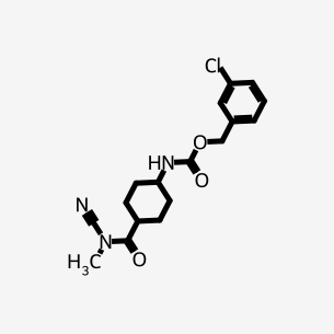 CN(C#N)C(=O)C1CCC(NC(=O)OCc2cccc(Cl)c2)CC1